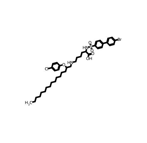 CCCCCCCCCCCCCCC(CNCCCCC(NS(=O)(=O)c1ccc(-c2ccc(Br)cc2)cc1)C(=O)O)Oc1ccc(Cl)cc1